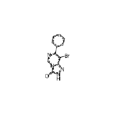 O=c1[nH]nc2c(Br)c(-c3ccccc3)ncn12